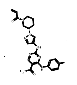 C=CC(=O)N1CCC[C@@H](n2cc(Nc3ncc(C(N)=O)c(Nc4ccc(F)cc4)n3)cn2)C1